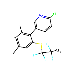 Cc1[c]c(C)c(-c2ccc(Cl)nc2)c(SC(F)(F)C(F)(F)C(F)(F)F)c1